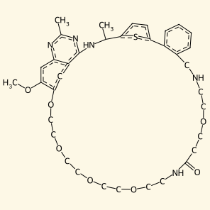 COc1cc2nc(C)nc3c2cc1OCCOCCOCCOCCNC(=O)CCOCCNCc1ccccc1-c1ccc(s1)C(C)N3